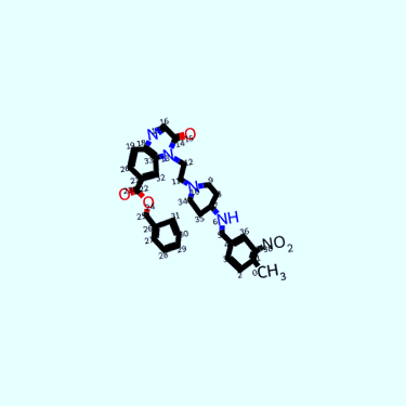 Cc1ccc(CNC2CCN(CCn3c(=O)cnc4ccc(C(=O)OCc5ccccc5)cc43)CC2)cc1[N+](=O)[O-]